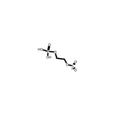 O=[SH](=O)OCCOP(=O)(O)O